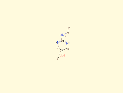 CBc1cnc(NCC)nc1